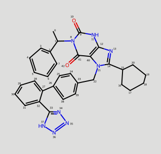 CC(c1ccccc1)n1c(=O)[nH]c2nc(C3CCCCC3)n(Cc3ccc(-c4ccccc4-c4nnn[nH]4)cc3)c2c1=O